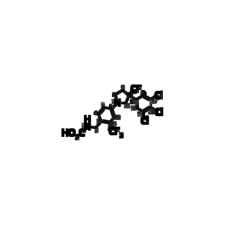 O=C(O)NCc1ccc(N2CCC(c3cc(Cl)c(Cl)c(Cl)c3)(C(F)(F)F)C2)cc1C(F)(F)F